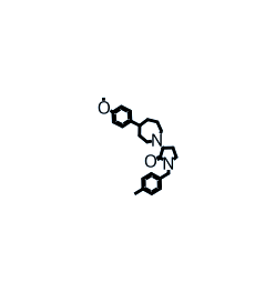 COc1ccc(C2CCCN(C3CCN(Cc4ccc(C)cc4)C3=O)CC2)cc1